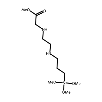 COC(=O)CNCCNCCC[Si](OC)(OC)OC